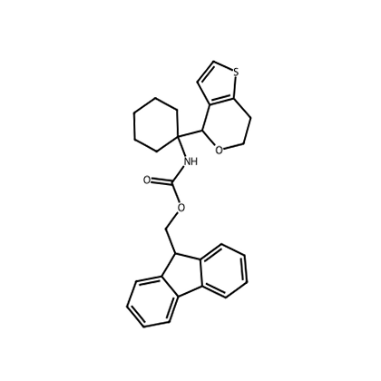 O=C(NC1(C2OCCc3sccc32)CCCCC1)OCC1c2ccccc2-c2ccccc21